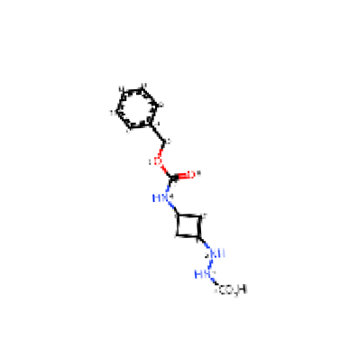 O=C(O)NNC1CC(NC(=O)OCc2ccccc2)C1